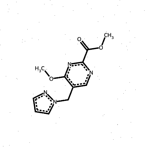 COC(=O)c1ncc(Cn2cccn2)c(OC)n1